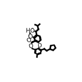 COc1c(C(O)CC(C)C)ccc2c1C(=O)OCc1cc(C)cc(CCC3CCCC3)c1O2